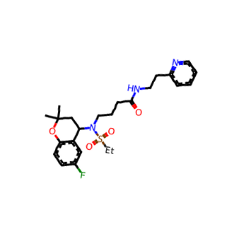 CCS(=O)(=O)N(CCCC(=O)NCCc1ccccn1)C1CC(C)(C)Oc2ccc(F)cc21